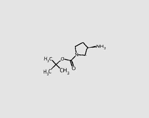 CC(C)(C)OC(=O)N1[CH][C@H](N)CC1